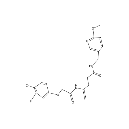 C=C(CCC(=O)NCc1ccc(OC)nc1)NC(=O)COc1ccc(Cl)c(F)c1